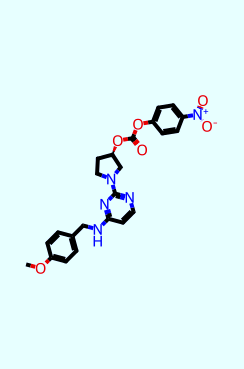 COc1ccc(CNc2ccnc(N3CC[C@@H](OC(=O)Oc4ccc([N+](=O)[O-])cc4)C3)n2)cc1